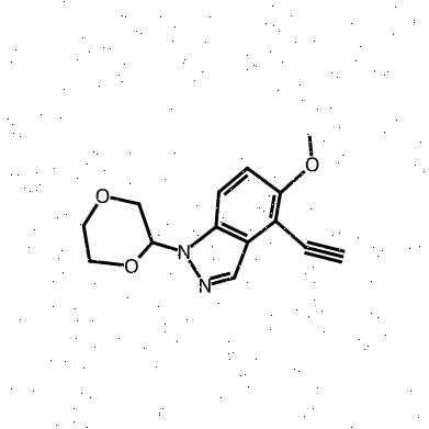 C#Cc1c(OC)ccc2c1cnn2C1COCCO1